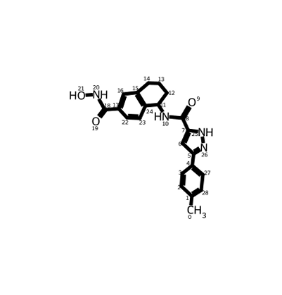 Cc1ccc(-c2cc(C(=O)NC3CCCc4cc(C(=O)NO)ccc43)[nH]n2)cc1